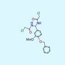 COc1cc(C(NC(=O)CCl)NC(=O)CCl)ccc1OCc1ccccc1